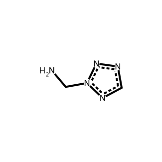 NCn1ncnn1